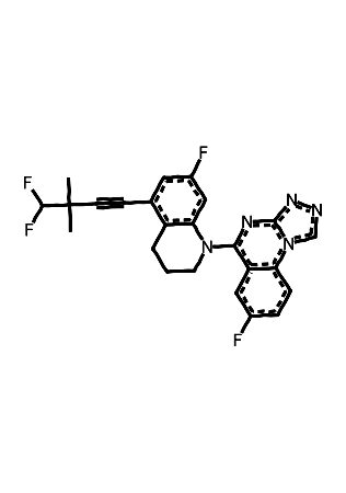 CC(C)(C#Cc1cc(F)cc2c1CCCN2c1nc2nncn2c2ccc(F)cc12)C(F)F